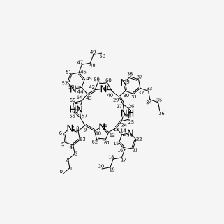 CCCCc1ccnc(-c2c3nc(c(-c4cc(CCCC)ccn4)c4ccc([nH]4)c(-c4cc(CCCC)ccn4)c4nc(c(-c5cc(CCCC)ccn5)c5ccc2[nH]5)C=C4)C=C3)c1